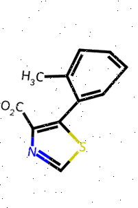 CCOC(=O)c1ncsc1-c1ccccc1C